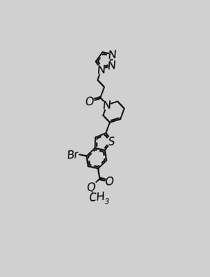 COC(=O)c1cc(Br)c2cc(C3=CCCN(C(=O)CCn4ccnn4)C3)sc2c1